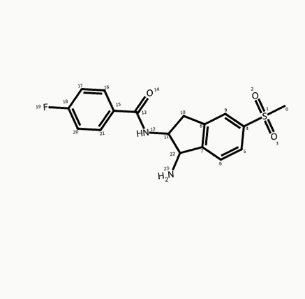 CS(=O)(=O)c1ccc2c(c1)CC(NC(=O)c1ccc(F)cc1)C2N